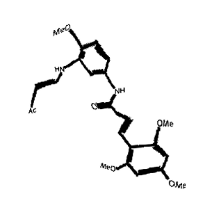 COc1cc(OC)c(C=CC(=O)Nc2ccc(OC)c(NC=CC(C)=O)c2)c(OC)c1